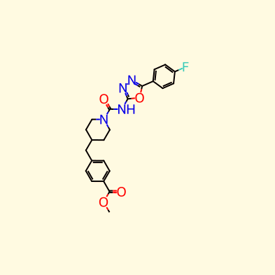 COC(=O)c1ccc(CC2CCN(C(=O)Nc3nnc(-c4ccc(F)cc4)o3)CC2)cc1